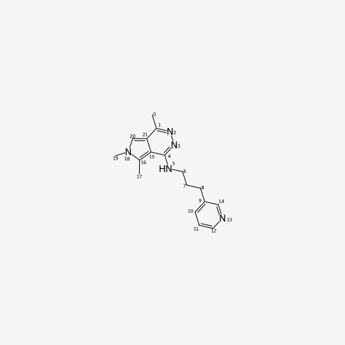 Cc1nnc(NCCCc2cccnc2)c2c(C)n(C)cc12